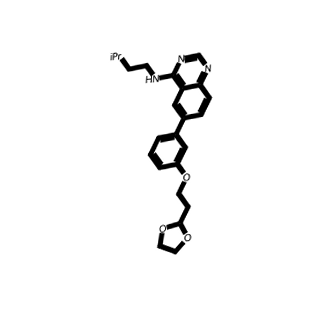 CC(C)CCNc1ncnc2ccc(-c3cccc(OCCC4OCCO4)c3)cc12